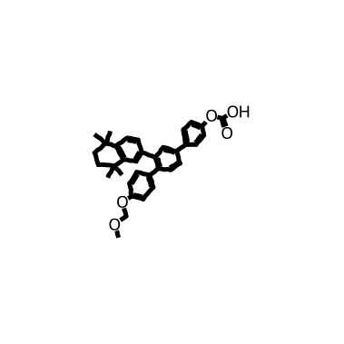 COCOc1ccc(-c2ccc(-c3ccc(OC(=O)O)cc3)cc2-c2ccc3c(c2)C(C)(C)CCC3(C)C)cc1